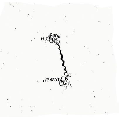 CCCCCC(C)(C)OOC(=O)OCCCCCC=CCCCCCOC(=O)OOC(C)(C)CCCCC